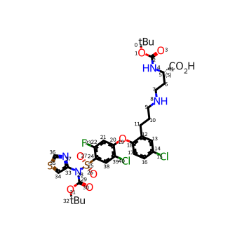 CC(C)(C)OC(=O)N[C@@H](CCNCCCc1cc(Cl)ccc1Oc1cc(F)c(S(=O)(=O)N(C(=O)OC(C)(C)C)c2cscn2)cc1Cl)C(=O)O